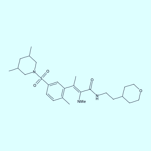 CN/C(C(=O)NCCC1CCOCC1)=C(/C)c1cc(S(=O)(=O)N2CC(C)CC(C)C2)ccc1C